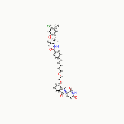 CC1(C)[C@H](NC(=O)c2ccc(CCCCCOCCOc3cccc4c3CN(C3CCC(=O)NC3=O)C4=O)cc2)C(C)(C)[C@H]1Oc1ccc(C#N)c(Cl)c1